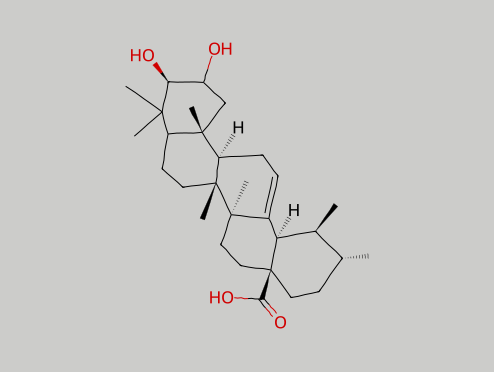 C[C@H]1[C@H](C)CC[C@]2(C(=O)O)CC[C@]3(C)C(=CC[C@@H]4[C@@]5(C)CC(O)[C@H](O)C(C)(C)C5CC[C@]43C)[C@@H]12